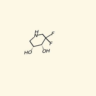 O[C@@H]1CNCC(F)(F)[C@@H]1O